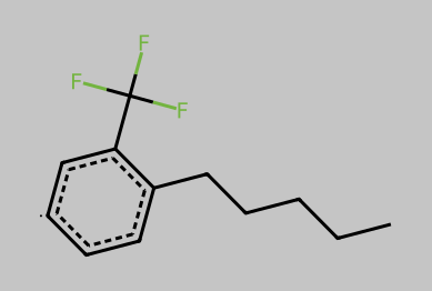 CCCCCc1cc[c]cc1C(F)(F)F